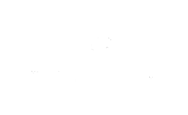 COCc1ccc2c(c1)CCN(C(=O)O)[C@H]2C(=O)Nc1cc(F)c(C(C)(C)COC)c(F)c1